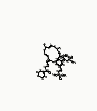 C[C@@H]1C/C=C/[C@H](C)C/C=C/C(=N/OCC(=O)N2CCCCC2)Cc2cc(OCP(=O)(O)O)cc(OCP(=O)(O)O)c2C(=O)O1